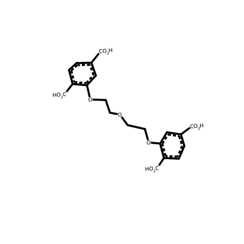 O=C(O)c1ccc(C(=O)O)c(OCCOCCOc2cc(C(=O)O)ccc2C(=O)O)c1